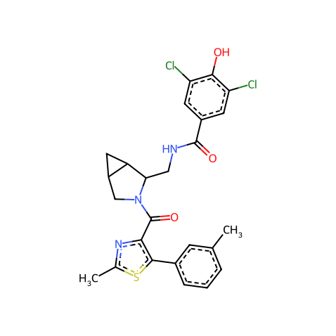 Cc1cccc(-c2sc(C)nc2C(=O)N2CC3CC3C2CNC(=O)c2cc(Cl)c(O)c(Cl)c2)c1